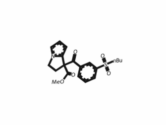 CCCCS(=O)(=O)c1cccc(C(=O)C2(C(=O)OC)CCn3cccc32)c1